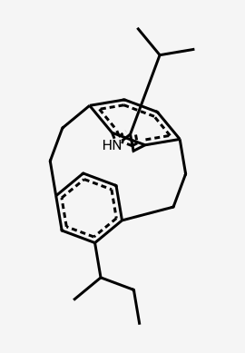 CCC(C)c1cc2ccc1CCc1ccc(c3[nH]c(C(C)C)cc13)CC2